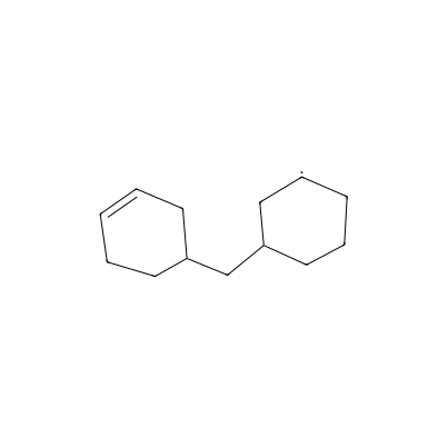 [CH]1CCCC(CC2CC=CCC2)C1